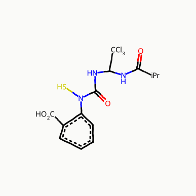 CC(C)C(=O)NC(NC(=O)N(S)c1ccccc1C(=O)O)C(Cl)(Cl)Cl